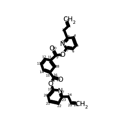 C=CCc1cccc(OC(=O)c2cccc(C(=O)Oc3cccc(CC=C)n3)c2)n1